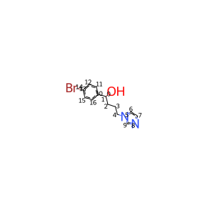 OC(CCCn1ccnc1)c1ccc(Br)cc1